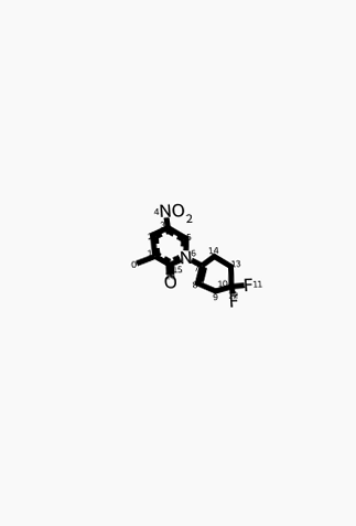 Cc1cc([N+](=O)[O-])cn(C2=CCC(F)(F)CC2)c1=O